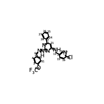 FC(F)(F)Oc1ccc(/C=N\Nc2nc(NCc3ccc(Cl)nc3)cc(-c3ccccc3)n2)cc1